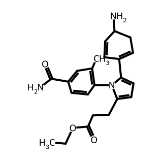 CCOC(=O)CCc1ccc(C2=CCC(N)C=C2)n1-c1ccc(C(N)=O)cc1C